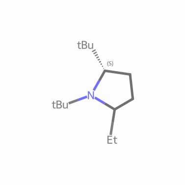 CCC1CC[C@@H](C(C)(C)C)N1C(C)(C)C